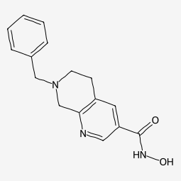 O=C(NO)c1cnc2c(c1)CCN(Cc1ccccc1)C2